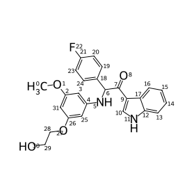 COc1cc(NC(C(=O)c2c[nH]c3ccccc23)c2ccc(F)cc2)cc(OCCO)c1